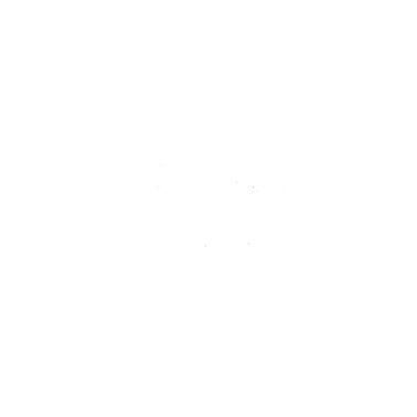 CC(COc1ccccc1)C(=O)OC(CC(=O)[O-])C[N+](C)(C)C